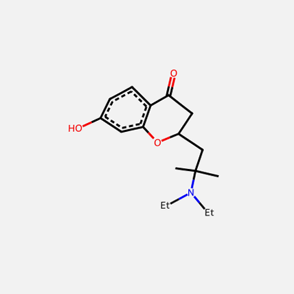 CCN(CC)C(C)(C)CC1CC(=O)c2ccc(O)cc2O1